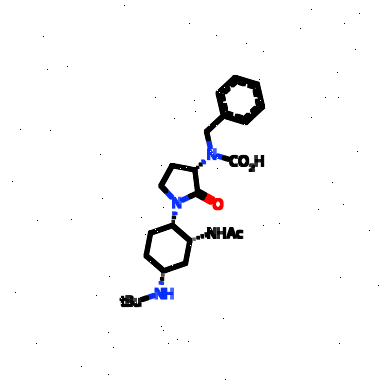 CC(=O)N[C@@H]1C[C@H](NC(C)(C)C)CC[C@@H]1N1CC[C@H](N(Cc2ccccc2)C(=O)O)C1=O